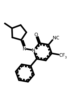 [C-]#[N+]c1c(C(F)(F)F)cc(-c2ccccc2)n(/N=C2\CCC(C)C2)c1=O